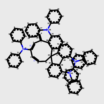 C=C1/C=C(N(c2ccccc2)c2ccccc2)\C=C/CC2(c3cccc(N(c4ccccc4)c4ccccc4)c31)c1cccc(N(c3ccccc3)c3ccccc3)c1-c1c(N(c3ccccc3)c3ccccc3)cccc12